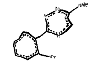 CNc1cnc(-c2ccccc2C(C)C)nn1